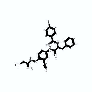 C=C(CC)NSc1ccc(NC(=O)C(Cc2ccccc2)NC(=O)c2ccc(F)cc2)cc1C#N